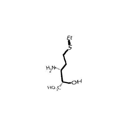 CCSCC[C@@H](N)[C@H](O)C(=O)O